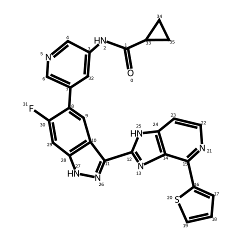 O=C(Nc1cncc(-c2cc3c(-c4nc5c(-c6cccs6)nccc5[nH]4)n[nH]c3cc2F)c1)C1CC1